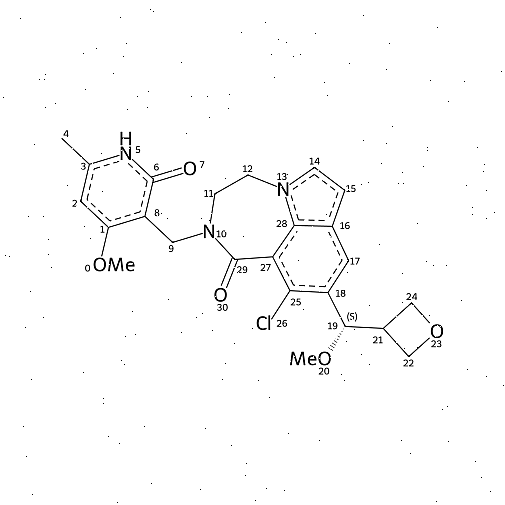 COc1cc(C)[nH]c(=O)c1CN1CCn2ccc3cc([C@@H](OC)C4COC4)c(Cl)c(c32)C1=O